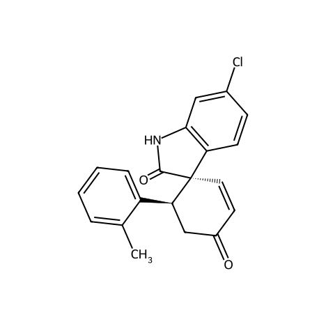 Cc1ccccc1[C@@H]1CC(=O)C=C[C@@]12C(=O)Nc1cc(Cl)ccc12